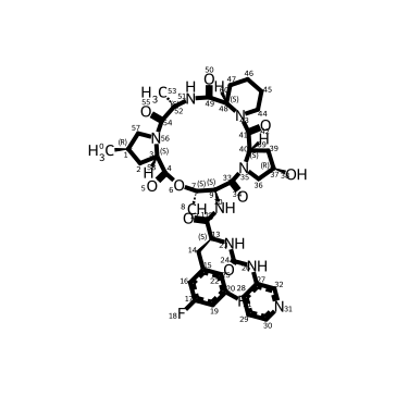 C[C@@H]1C[C@H]2C(=O)O[C@@H](C)[C@H](NC(=O)[C@H](Cc3cc(F)cc(F)c3)NC(=O)Nc3cccnc3)C(=O)N3C[C@H](O)C[C@H]3C(=O)N3CCCC[C@H]3C(=O)N[C@@H](C)C(=O)N2C1